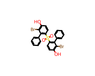 O=S(=O)(c1ccc(O)c(Br)c1-c1ccccc1)c1ccc(O)c(Br)c1-c1ccccc1